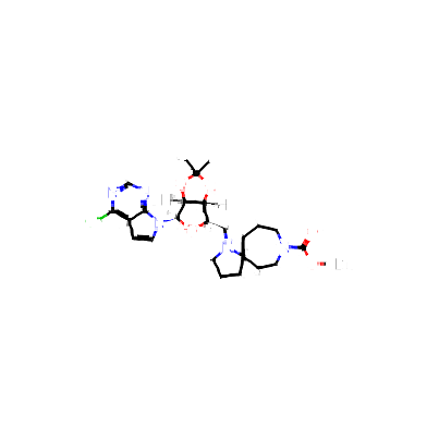 CC(C)(C)OC(=O)N1CCCC2(CCCN2C[C@H]2O[C@@H](n3ccc4c(Cl)ncnc43)[C@@H]3OC(C)(C)O[C@@H]32)CC1